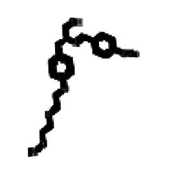 CCOCCOCCOc1ccc(C[C@@H](CO)/N=C/c2ccc(OC)cc2)cc1